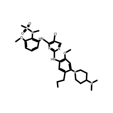 CCCc1cc(Nc2ncc(Cl)c(Nc3cccc(OC)c3N(C)S(C)(=O)=O)n2)c(OC)cc1N1CCC(N(C)C)CC1